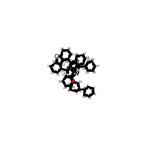 c1ccc(-c2cccc(-c3nc(-c4cccc5oc6cccc(-c7nc(-c8ccccc8)nc(-c8ccccc8)n7)c6c45)c4sc5ccccc5c4n3)c2)cc1